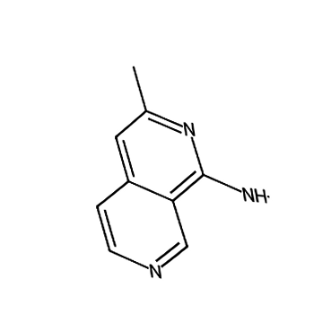 Cc1cc2ccncc2c([NH])n1